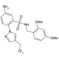 COc1ccc(CNS(=O)(=O)c2cc(N)ccc2-n2cc(CC(F)(F)F)cn2)c(OC)c1